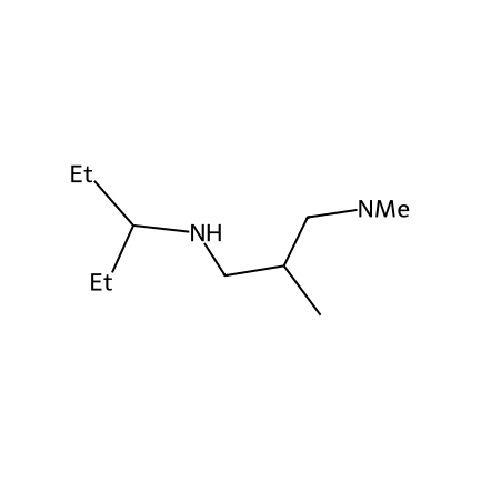 CCC(CC)NCC(C)CNC